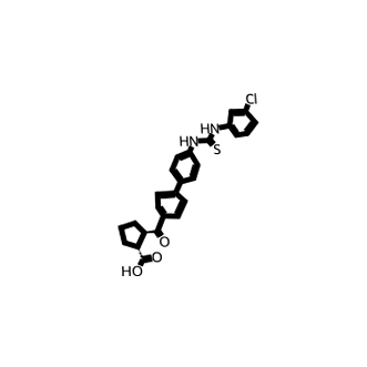 O=C(O)[C@@H]1CCC[C@H]1C(=O)c1ccc(-c2ccc(NC(=S)Nc3cccc(Cl)c3)cc2)cc1